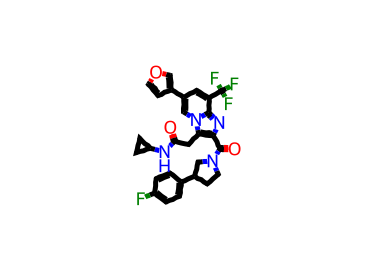 O=C(Cc1c(C(=O)N2CCC(c3ccc(F)cc3)C2)nc2c(C(F)(F)F)cc(-c3ccoc3)cn12)NC1CC1